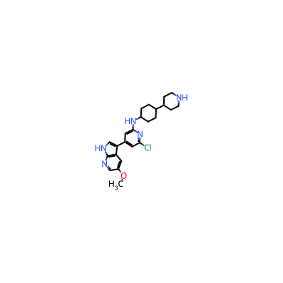 COc1cnc2[nH]cc(-c3cc(Cl)nc(NC4CCC(C5CCNCC5)CC4)c3)c2c1